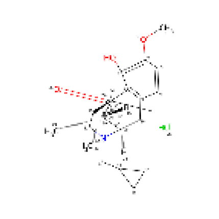 COc1ccc2c(c1O)[C@]13CCN(CC4CC4)[C@H](C2)[C@@H]1[C@@H](C)[C@H](C)C(=O)C3.Cl